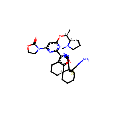 C[C@H](Oc1cc(N2CCOC2=O)nc(-c2noc3c2CCC[C@@]32CCCc3sc(N)c(C#N)c32)n1)[C@@H]1CCCN1C